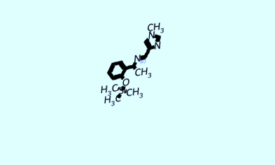 CC(/N=C/c1cn(C)cn1)c1ccccc1O[Si](C)(C)C